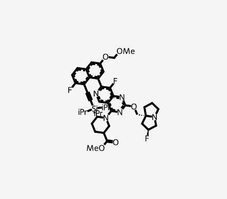 COCOc1cc(-c2ncc3c(N4CCCC(C(=O)OC)C4)nc(OC[C@]45CCCN4C[C@@H](F)C5)nc3c2F)c2c(C#C[Si](C(C)C)(C(C)C)C(C)C)c(F)ccc2c1